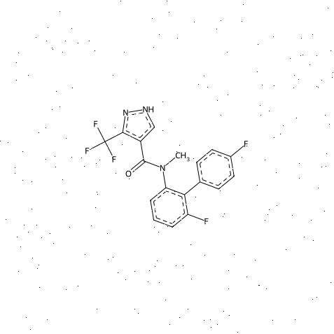 CN(C(=O)c1c[nH]nc1C(F)(F)F)c1cccc(F)c1-c1ccc(F)cc1